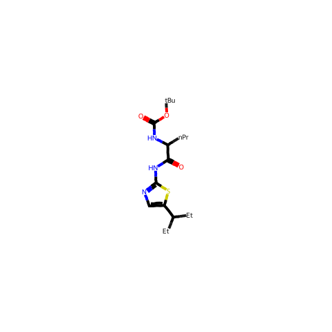 CCCC(NC(=O)OC(C)(C)C)C(=O)Nc1ncc(C(CC)CC)s1